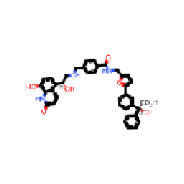 O=C(NCc1ccc(-c2cccc([C@](O)(C(=O)O)c3ccccc3)c2)o1)c1ccc(CNC[C@H](O)c2ccc(O)c3[nH]c(=O)ccc23)cc1